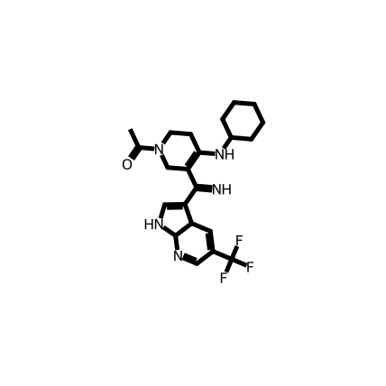 CC(=O)N1CCC(NC2CCCCC2)=C(C(=N)C2=CNC3N=CC(C(F)(F)F)=CC23)C1